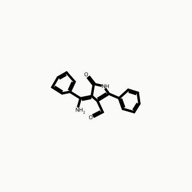 N/C(=C1/C(=O)NC(c2ccccc2)=C1C=O)c1ccccc1